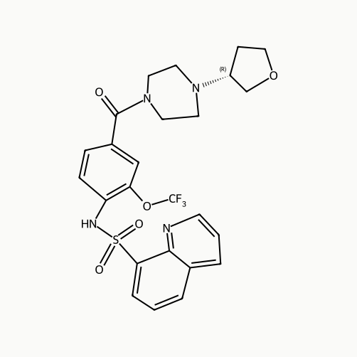 O=C(c1ccc(NS(=O)(=O)c2cccc3cccnc23)c(OC(F)(F)F)c1)N1CCN([C@@H]2CCOC2)CC1